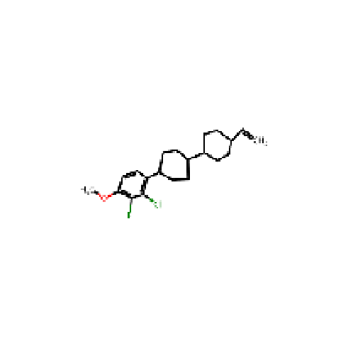 C=CC1CCC(C2CCC(c3ccc(OC)c(F)c3Cl)CC2)CC1